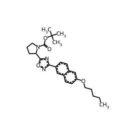 CCCCCOc1ccc2cc(-c3noc(C4CCCN4C(=O)OC(C)(C)C)n3)ccc2c1